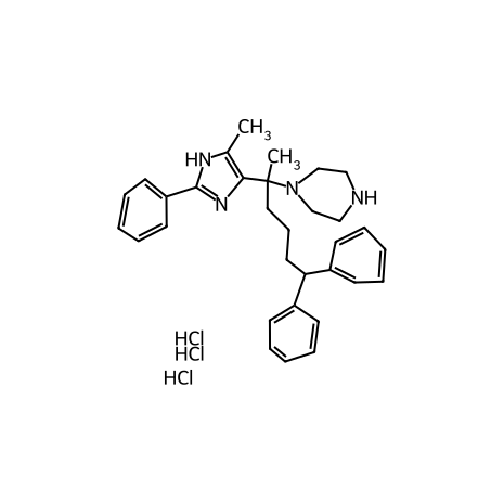 Cc1[nH]c(-c2ccccc2)nc1C(C)(CCCC(c1ccccc1)c1ccccc1)N1CCNCC1.Cl.Cl.Cl